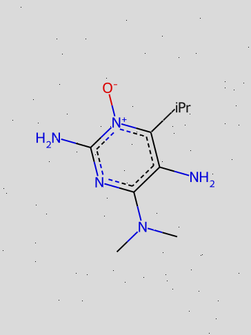 CC(C)c1c(N)c(N(C)C)nc(N)[n+]1[O-]